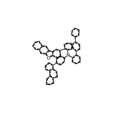 c1ccc(-c2ccc(-c3ccccc3N(c3ccc(-c4cccc5c4ccc4ccccc45)cc3)c3ccccc3-c3ccc4oc5cc6ccccc6cc5c4c3)cc2)cc1